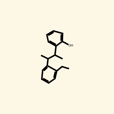 CCc1ccccc1C(C)C(C)c1ccccc1O